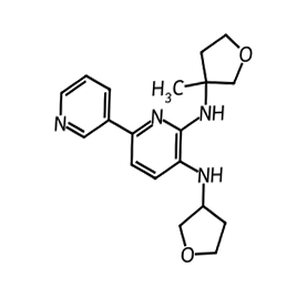 CC1(Nc2nc(-c3cccnc3)ccc2NC2CCOC2)CCOC1